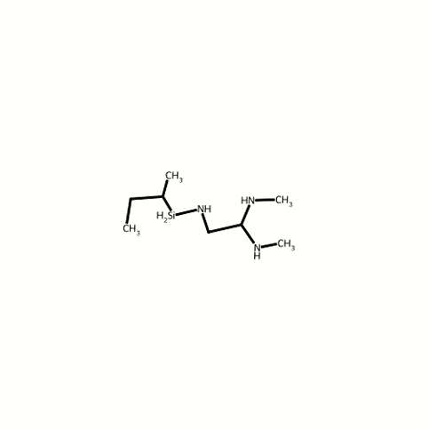 CCC(C)[SiH2]NCC(NC)NC